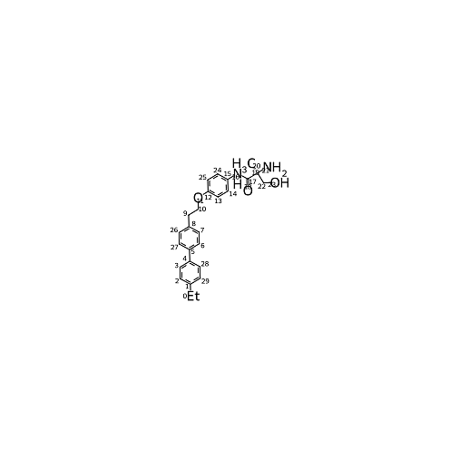 CCc1ccc(-c2ccc(CCOc3ccc(NC(=O)[C@@](C)(N)CO)cc3)cc2)cc1